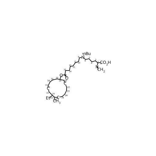 C=NC(CCCCN(CCCC)CCCCCCCC(=O)OC1CCCCCCCC(C)C(CC)CCCCCC1)C(=O)O